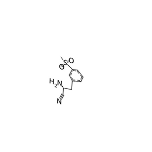 CS(=O)(=O)c1cccc(C[C@H](N)C#N)c1